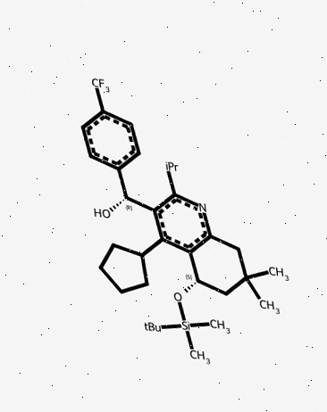 CC(C)c1nc2c(c(C3CCCC3)c1[C@H](O)c1ccc(C(F)(F)F)cc1)[C@@H](O[Si](C)(C)C(C)(C)C)CC(C)(C)C2